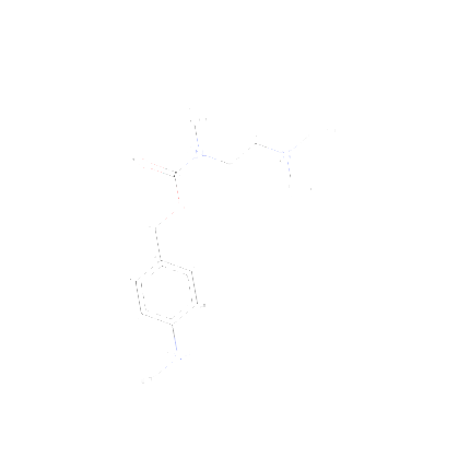 CC(C)Nc1ccc(COC(=O)N(C)CCN(C)C=O)cc1